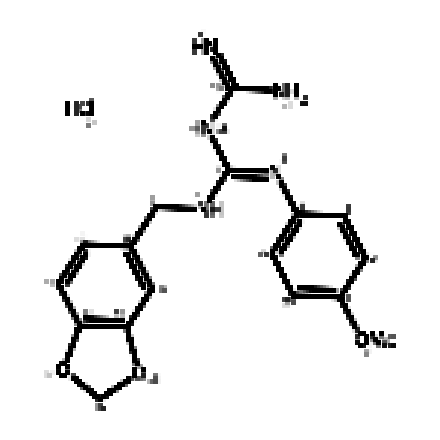 COc1ccc(N=C(NCc2ccc3c(c2)OCO3)NC(=N)N)cc1.Cl